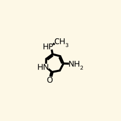 CPC1=CNC(=O)CC(N)=C1